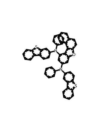 c1ccc(N(c2cc(N(c3ccccc3)c3ccc4c(c3)sc3ccccc34)c3c(c2)oc2ccc4ccccc4c23)c2ccc3sc4ccccc4c3c2)cc1